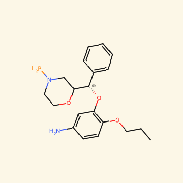 CCCOc1ccc(N)cc1O[C@@H](c1ccccc1)C1CN(P)CCO1